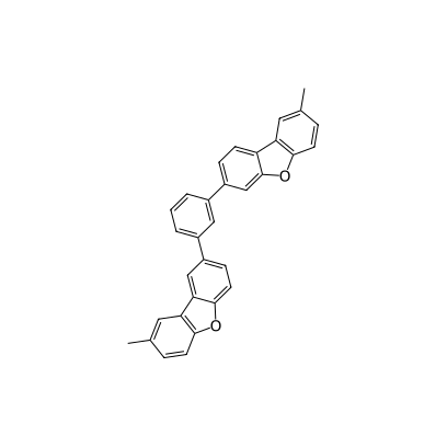 Cc1ccc2oc3cc(-c4cccc(-c5ccc6oc7ccc(C)cc7c6c5)c4)ccc3c2c1